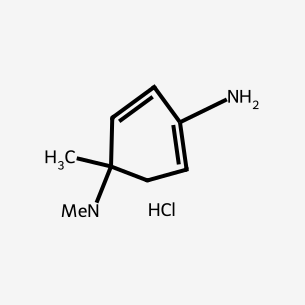 CNC1(C)C=CC(N)=CC1.Cl